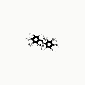 Cc1c(C)c(C)c(CNc2c(C)c(C)c(C)c([N+](=O)[O-])c2C)c(C)c1C